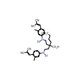 CCN(CCC(CCCC(=O)O)(CCN(CC)c1ccc(C=C(C#N)C#N)c(C)c1)C(=O)O)c1ccc(C=C(C#N)C#N)c(C)c1